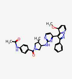 COc1cccn2nc(-c3ccccc3)c(-c3ccnc(NC4CN(C(=O)c5ccc(NC(C)=O)cc5)CC4C)n3)c12